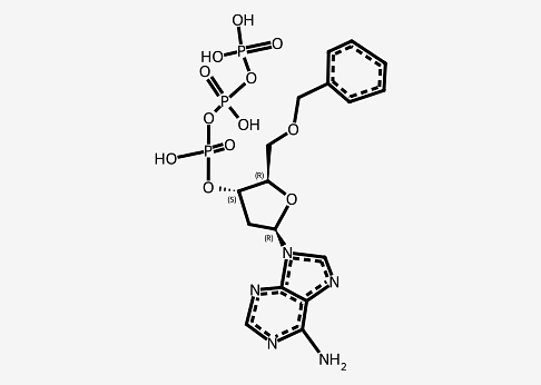 Nc1ncnc2c1ncn2[C@H]1C[C@H](OP(=O)(O)OP(=O)(O)OP(=O)(O)O)[C@@H](COCc2ccccc2)O1